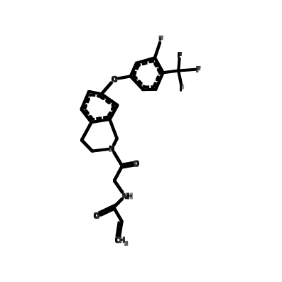 C=CC(=O)NCC(=O)N1CCc2ccc(Oc3ccc(C(F)(F)F)c(F)c3)cc2C1